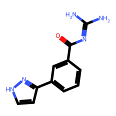 NC(N)=NC(=O)c1cccc(-c2cc[nH]n2)c1